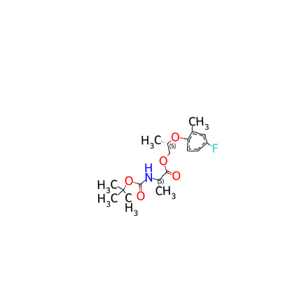 Cc1cc(F)ccc1O[C@@H](C)COC(=O)[C@H](C)NC(=O)OC(C)(C)C